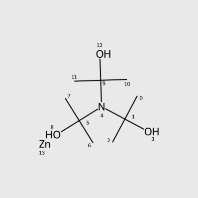 CC(C)(O)N(C(C)(C)O)C(C)(C)O.[Zn]